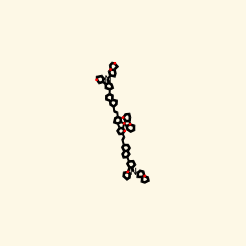 C(=C\c1ccc2cc(-c3ccc4c(c3)c3ccccc3n4-c3ccc4ccccc4c3)ccc2c1)/c1ccc2c(c1)C1(c3ccccc3-c3ccccc31)c1cc(/C=C/c3ccc4cc(-c5ccc6c(c5)c5ccccc5n6-c5ccc6ccccc6c5)ccc4c3)ccc1-2